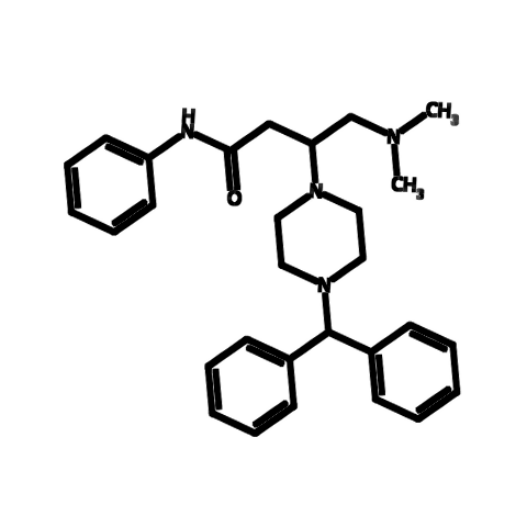 CN(C)CC(CC(=O)Nc1ccccc1)N1CCN(C(c2ccccc2)c2ccccc2)CC1